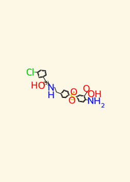 Nc1ccc(S(=O)(=O)c2ccc(CCNC[C@@H](O)c3cccc(Cl)c3)cc2)cc1C(=O)O